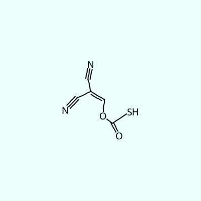 N#CC(C#N)=COC(=O)S